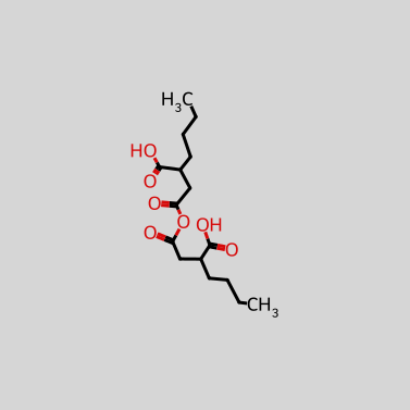 CCCCC(CC(=O)OC(=O)CC(CCCC)C(=O)O)C(=O)O